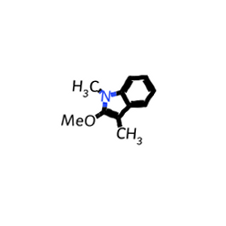 COc1c(C)c2ccccc2n1C